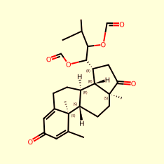 CC1=CC(=O)C=C2CC[C@H]3[C@@H]4[C@H](C(OC=O)C(OC=O)C(C)C)CC(=O)[C@@]4(C)CC[C@@H]3[C@@]12C